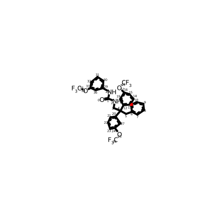 O=C(NCC(Cc1ccccc1)(c1cccc(OC(F)(F)F)c1)c1cccc(OC(F)(F)F)c1)Nc1cccc(OC(F)(F)F)c1